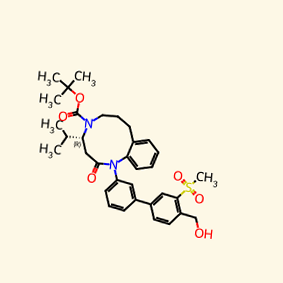 CC(C)[C@H]1CC(=O)N(c2cccc(-c3ccc(CO)c(S(C)(=O)=O)c3)c2)c2ccccc2CCCN1C(=O)OC(C)(C)C